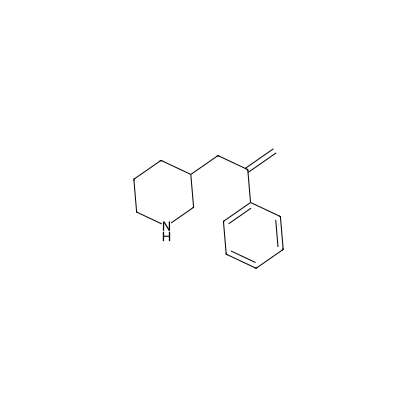 C=C(CC1CCCNC1)c1ccccc1